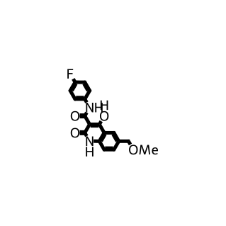 COCc1ccc2[nH]c(=O)c(C(=O)Nc3ccc(F)cc3)c(O)c2c1